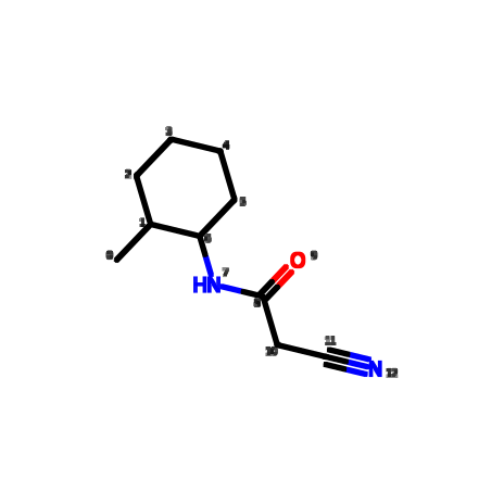 CC1CCCCC1NC(=O)CC#N